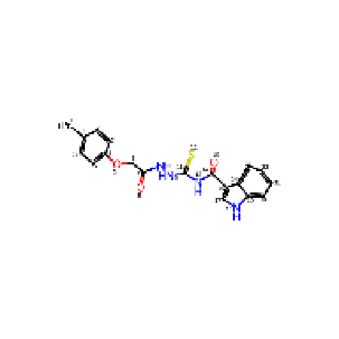 CC(C)c1ccc(OCC(=O)NNC(=S)NC(=O)c2c[nH]c3ccccc23)cc1